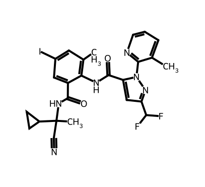 Cc1cccnc1-n1nc(C(F)F)cc1C(=O)Nc1c(C)cc(I)cc1C(=O)NC(C)(C#N)C1CC1